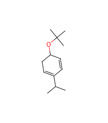 CC(C)C1=CCC(OC(C)(C)C)C=C1